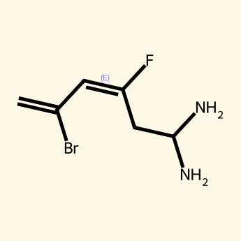 C=C(Br)/C=C(/F)CC(N)N